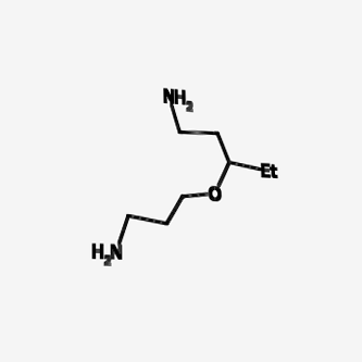 CCC(CCN)OCCCN